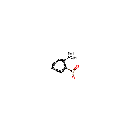 O=[SH](=O)c1ccccc1S(=O)(=O)O.[NaH]